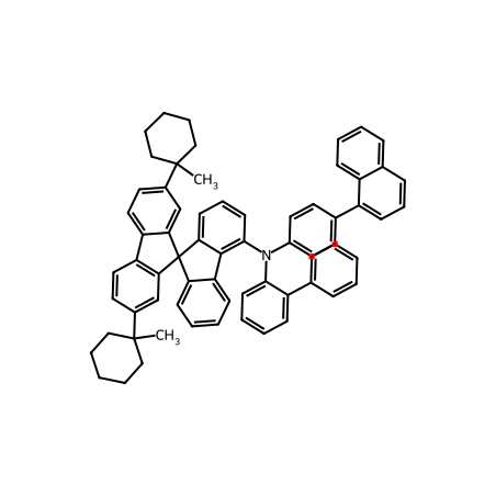 CC1(c2ccc3c(c2)C2(c4cc(C5(C)CCCCC5)ccc4-3)c3ccccc3-c3c(N(c4ccc(-c5cccc6ccccc56)cc4)c4ccccc4-c4ccccc4)cccc32)CCCCC1